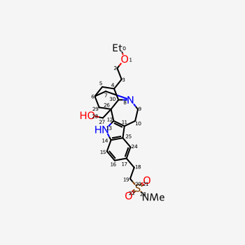 CCOCCC1CC2CN3CCc4c([nH]c5ccc(CCS(=O)(=O)NC)cc45)C(CO)(C2)C13